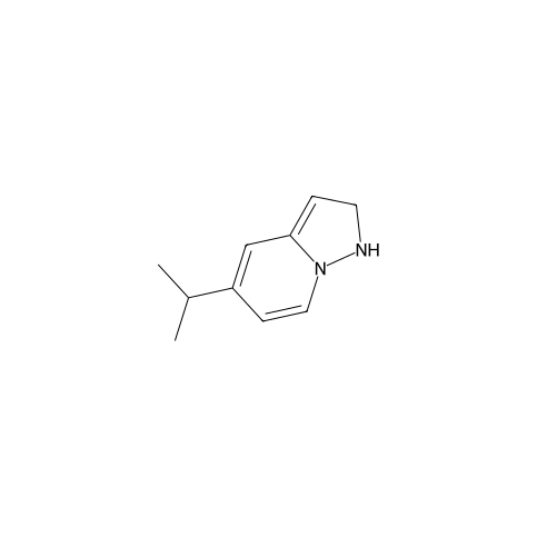 CC(C)C1=CC2=CCNN2C=C1